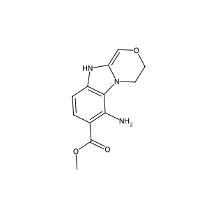 COC(=O)c1ccc2c(c1N)N1CCOC=C1N2